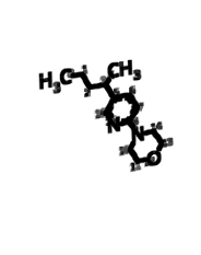 CCCC(C)c1ccc(N2CCOCC2)nc1